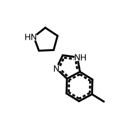 C1CCNC1.Cc1ccc2nc[nH]c2c1